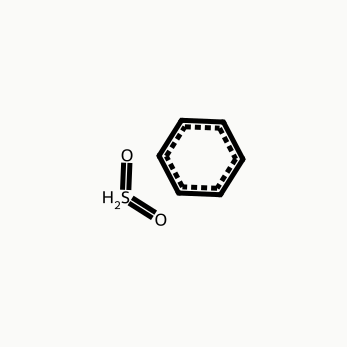 O=[SH2]=O.c1ccccc1